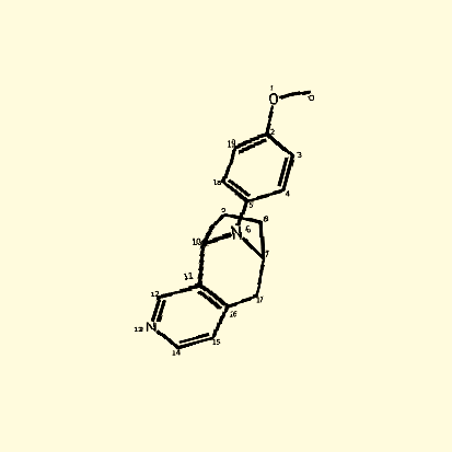 COc1ccc(N2C3CCC2c2cnccc2C3)cc1